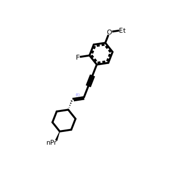 CCC[C@H]1CC[C@H](/C=C/C#Cc2ccc(OCC)cc2F)CC1